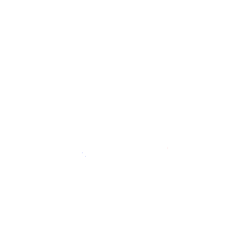 CC(=O)C(N)=O.CCCCCC(=O)O